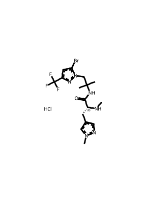 CN[C@H](Cc1cnn(C)c1)C(=O)NC(C)(C)Cn1nc(C(F)(F)F)cc1Br.Cl